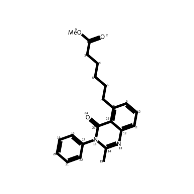 COC(=O)CCCCCc1cccc2nc(C)n(-c3ccccc3)c(=O)c12